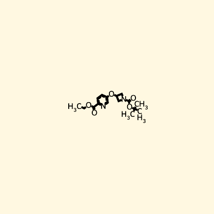 CCOC(=O)c1ccc(OC2CN(C(=O)OC(C)(C)C)C2)cn1